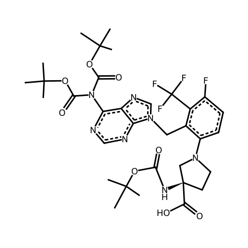 CC(C)(C)OC(=O)N[C@]1(C(=O)O)CCN(c2ccc(F)c(C(F)(F)F)c2Cn2cnc3c(N(C(=O)OC(C)(C)C)C(=O)OC(C)(C)C)ncnc32)C1